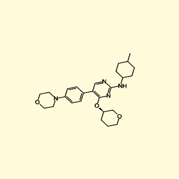 CC1CCC(Nc2ncc(-c3ccc(N4CCOCC4)cc3)c(O[C@@H]3CCCOC3)n2)CC1